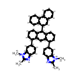 Cc1nc2ccc(-c3cccc4c(-c5cc6ccccc6c6ccccc56)c5cccc(-c6ccc7nc(C)n(C)c7c6)c5cc34)cc2n1C